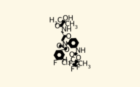 CC(C)(O)C(=O)NC[C@H]1CN(S(=O)(=O)c2ccc(F)c(Cl)c2)c2cc(NC(=O)OC(C)(C)C(F)(F)F)ccc2O1